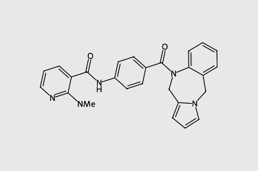 CNc1ncccc1C(=O)Nc1ccc(C(=O)N2Cc3cccn3Cc3ccccc32)cc1